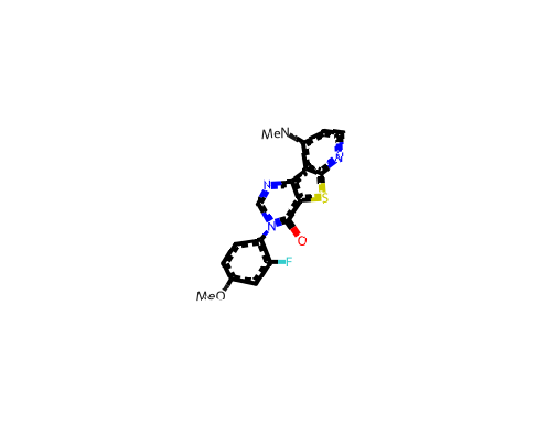 CNc1ccnc2sc3c(=O)n(-c4ccc(OC)cc4F)cnc3c12